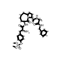 COP(=O)(OC)Oc1ccc(C[C@H](N)C(=O)N[C@H]2CCCCC3CC[C@@H](C(=O)N[C@@H](C)C(=O)NCc4ccccc4)N3C2=O)cc1